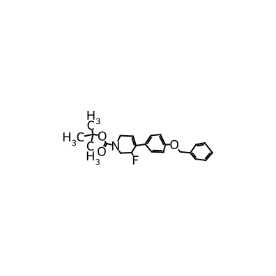 CC(C)(C)OC(=O)N1CC=C(c2ccc(OCc3ccccc3)cc2)C(F)C1